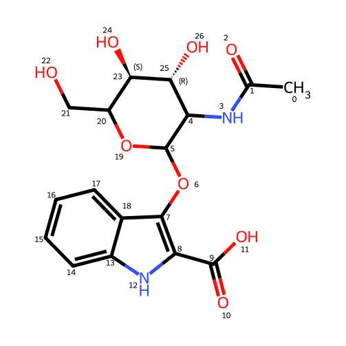 CC(=O)NC1C(Oc2c(C(=O)O)[nH]c3ccccc23)OC(CO)[C@@H](O)[C@@H]1O